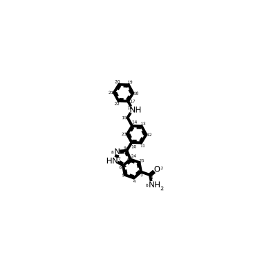 NC(=O)c1ccc2[nH]nc(-c3cccc(CNc4ccccc4)c3)c2c1